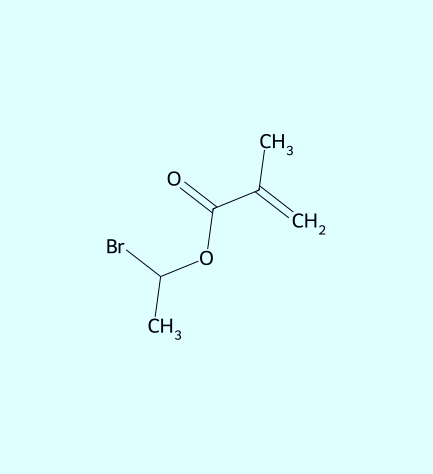 C=C(C)C(=O)OC(C)Br